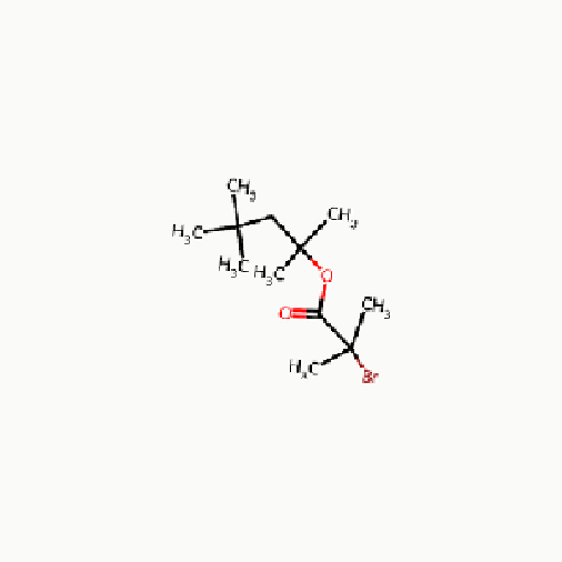 CC(C)(C)CC(C)(C)OC(=O)C(C)(C)Br